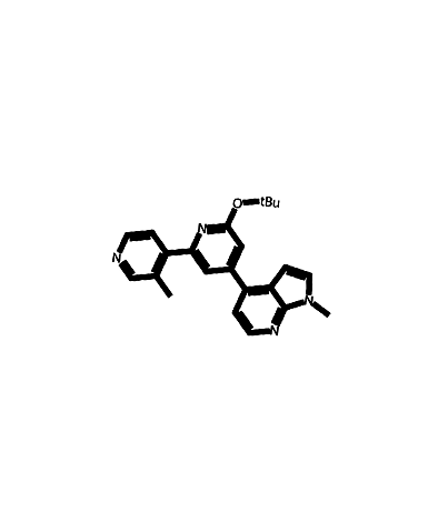 Cc1cnccc1-c1cc(-c2ccnc3c2ccn3C)cc(OC(C)(C)C)n1